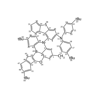 Cc1cc2c3c(c1)N(c1cc(N(c4ccc(C(C)(C)C)cc4)c4ccc(C(C)(C)C)cc4)cc4sc5ccccc5c14)c1ccc(C(C)(C)C)cc1B3c1sc3ccc(C(C)(C)C)cc3c1O2